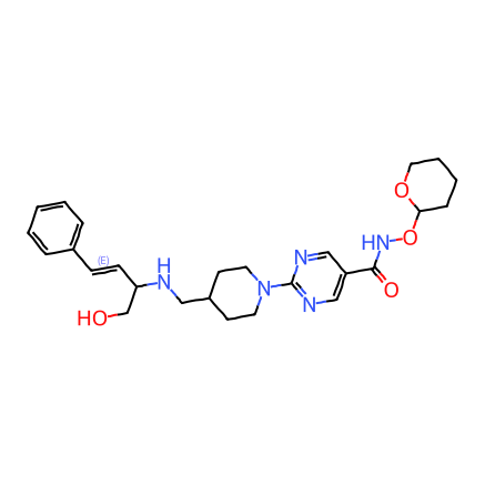 O=C(NOC1CCCCO1)c1cnc(N2CCC(CNC(/C=C/c3ccccc3)CO)CC2)nc1